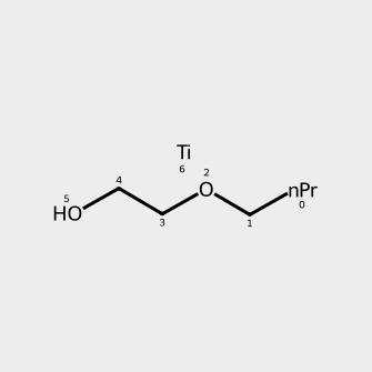 CCCCOCCO.[Ti]